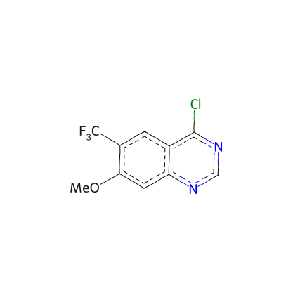 COc1cc2ncnc(Cl)c2cc1C(F)(F)F